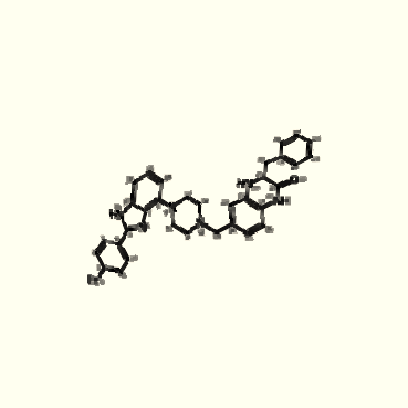 CCc1ccc(-c2nc3c(N4CCN(Cc5ccc6c(c5)NC(Cc5ccccc5)C(=O)N6)CC4)cccc3[nH]2)cc1